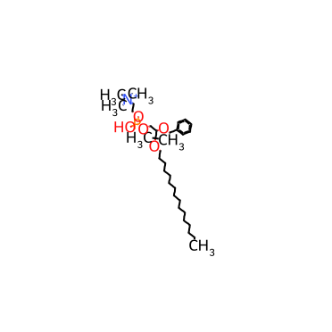 CCCCCCCCCCCCCCCCOC(C)(C)C(COP(O)OCC[N+](C)(C)C)OCc1ccccc1